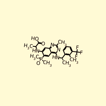 Cc1nc(N[C@H](C)c2cccc(C(F)(F)F)c2C)c2cc(P(C)(C)=O)c(NC(C)C(=O)O)cc2n1